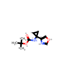 CC(C)(C)OC(=O)NC1(c2cocn2)CC1